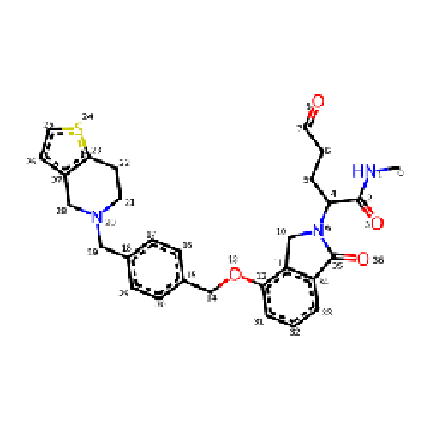 CNC(=O)C(CCC=O)N1Cc2c(OCc3ccc(CN4CCc5sccc5C4)cc3)cccc2C1=O